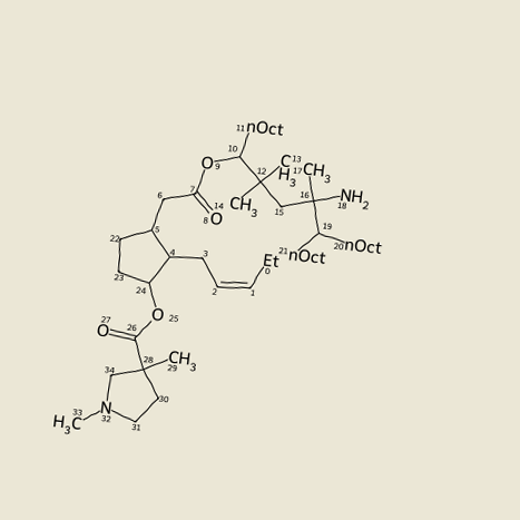 CC/C=C\CC1C(CC(=O)OC(CCCCCCCC)C(C)(C)CC(C)(N)C(CCCCCCCC)CCCCCCCC)CCC1OC(=O)C1(C)CCN(C)C1